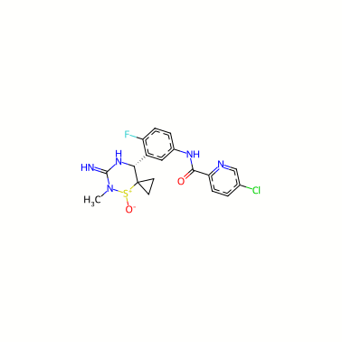 CN1C(=N)N[C@H](c2cc(NC(=O)c3ccc(Cl)cn3)ccc2F)C2(CC2)[S+]1[O-]